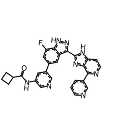 O=C(Nc1cncc(-c2cc(F)c3[nH]nc(-c4nc5c(-c6cccnc6)nccc5[nH]4)c3c2)c1)C1CCC1